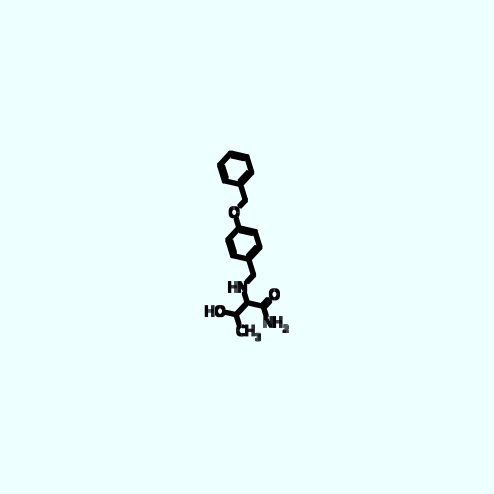 CC(O)C(NCc1ccc(OCc2ccccc2)cc1)C(N)=O